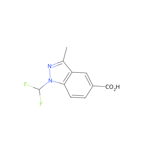 Cc1nn(C(F)F)c2ccc(C(=O)O)cc12